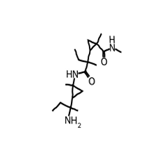 CCC(C)(N)C1CC1(C)NC(=O)C(C)(CC)C1CC1(C)C(=O)NC